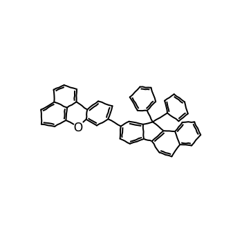 c1ccc(C2(c3ccccc3)c3cc(-c4ccc5c(c4)Oc4cccc6cccc-5c46)ccc3-c3ccc4ccccc4c32)cc1